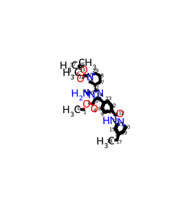 CCOC(=O)c1c(-c2ccc(C(=O)Nc3cc(CC)ccn3)cc2)nc([C@@H]2CCCN(C(=O)OC(C)(C)C)C2)n1N